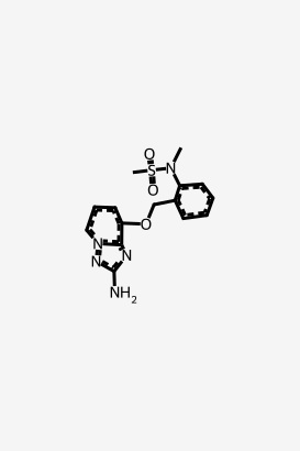 CN(c1ccccc1COc1cccn2nc(N)nc12)S(C)(=O)=O